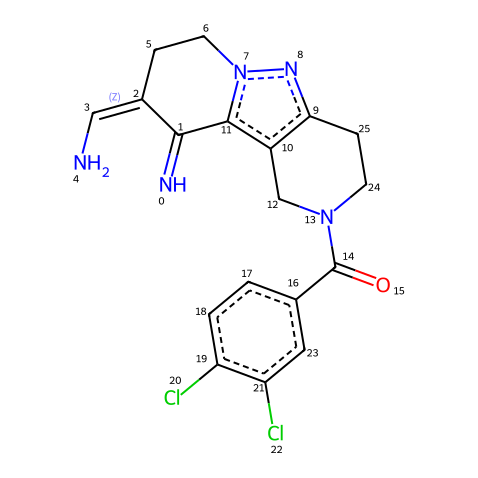 N=C1/C(=C\N)CCn2nc3c(c21)CN(C(=O)c1ccc(Cl)c(Cl)c1)CC3